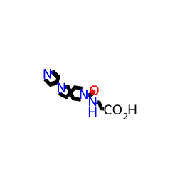 O=C(O)CCNC(=O)N1CCC2(CC1)CCN(c1ccncc1)C2